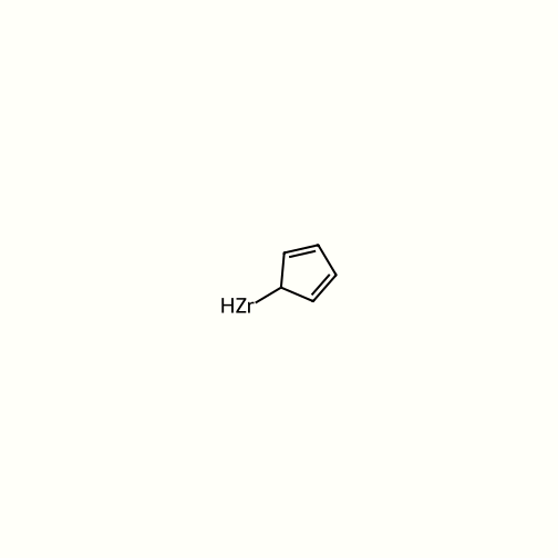 [ZrH][CH]1C=CC=C1